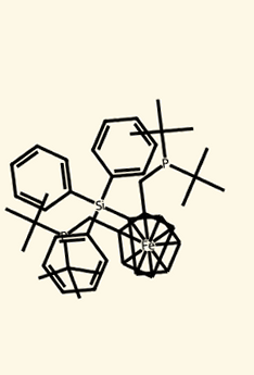 CC(C)(C)P(C[C]12[CH]3[CH]4[CH]5[C]1(CP(C(C)(C)C)C(C)(C)C)[Fe]43521678[CH]2[CH]1[CH]6[C]7([Si](c1ccccc1)(c1ccccc1)c1ccccc1)[CH]28)C(C)(C)C